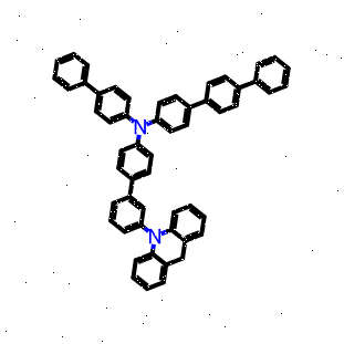 c1ccc(-c2ccc(-c3ccc(N(c4ccc(-c5ccccc5)cc4)c4ccc(-c5cccc(N6c7ccccc7Cc7ccccc76)c5)cc4)cc3)cc2)cc1